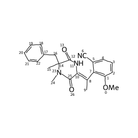 COc1cccc(C#N)c1C(C)=C1NC(=O)C(C)(Cc2ccccc2)N(C)C1=O